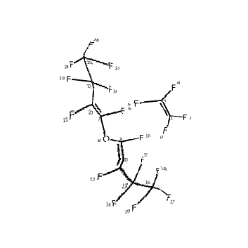 FC(F)=C(F)F.FC(OC(F)=C(F)C(F)(F)C(F)(F)F)=C(F)C(F)(F)C(F)(F)F